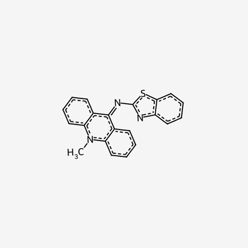 Cn1c2ccccc2c(=Nc2nc3ccccc3s2)c2ccccc21